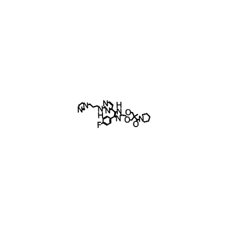 CC1(C(=O)N2CCCCC2)COC(c2nc(-c3ccc(F)cc3)c(-c3ccnc(NCCCN4C=NCC4)n3)[nH]2)OC1